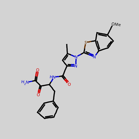 COc1ccc2nc(-n3nc(C(=O)NC(Cc4ccccc4)C(=O)C(N)=O)cc3C)sc2c1